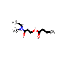 CCCC(=O)OCCC(=O)N(C)CC